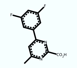 Cc1cc(-c2cc(F)cc(F)c2)nc(C(=O)O)n1